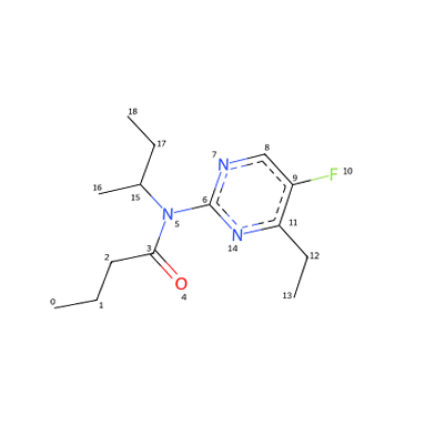 CCCC(=O)N(c1ncc(F)c(CC)n1)C(C)CC